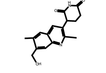 Cc1cc2cc(C3CCC(=O)NC3=O)c(C)nc2cc1CO